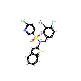 O=S(=O)(c1ccc(Cl)nc1)N(Cc1ccc(F)c(C(F)(F)F)c1)c1cc2ccccc2s1